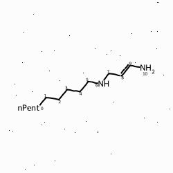 CCCCCCCCCCNCC=CN